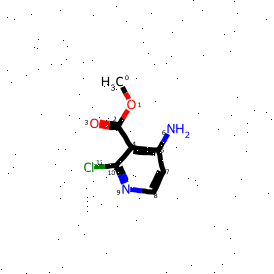 COC(=O)c1c(N)ccnc1Cl